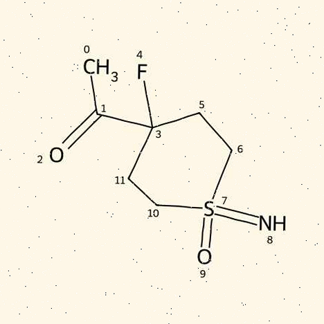 CC(=O)C1(F)CCS(=N)(=O)CC1